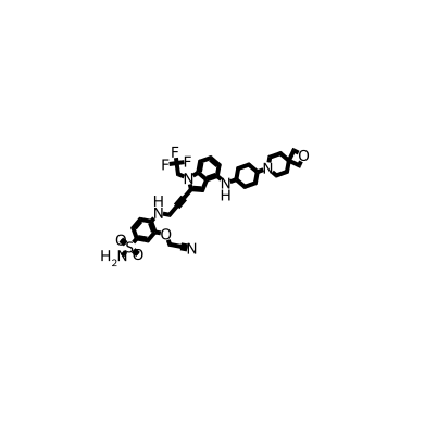 N#CCOc1cc(S(N)(=O)=O)ccc1NCC#Cc1cc2c(NC3CCC(N4CCC5(CC4)COC5)CC3)cccc2n1CC(F)(F)F